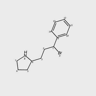 BrC(CCC1CCCN1)c1ccccc1